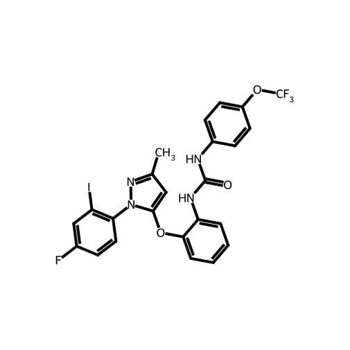 Cc1cc(Oc2ccccc2NC(=O)Nc2ccc(OC(F)(F)F)cc2)n(-c2ccc(F)cc2I)n1